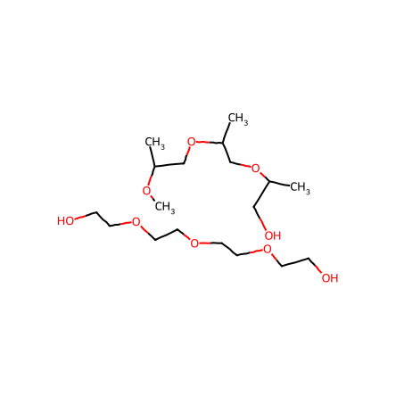 COC(C)COC(C)COC(C)CO.OCCOCCOCCOCCO